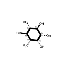 C[C@@H]1[C@@H](O)[C@H](O)[C@@H](O)[C@H](O)[C@@H]1O